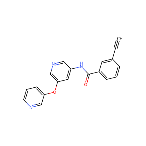 C#Cc1cccc(C(=O)Nc2cncc(Oc3cccnc3)c2)c1